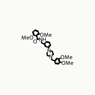 COc1ccc(CN2CCN(c3cccc(CNC(=O)c4c(OC)cccc4OC)c3)CC2)cc1OC